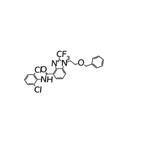 O=C(Nc1c(Cl)cccc1Cl)c1cccc2c1nc(C(F)(F)F)n2CCOCc1ccccc1